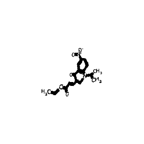 CCOC(=O)C=Cc1cn(C(C)C)c2ccc([N+](=O)[O-])cc2c1=O